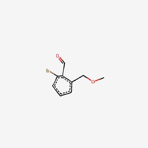 COCc1cccc(Br)c1C=O